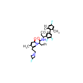 Cc1cc(=O)n(C(CC(C)C)C(=O)NC(CC(=O)O)c2cc(-c3c(C)cc(F)cc3C)cc(F)c2F)cc1CCN1CC(F)C1